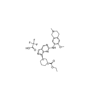 CCOC(=O)[C@H]1CCC[C@@H](n2ncc3cnc(Nc4cc5c(cc4OC)CCN(C)C5)nc32)C1.O=C(O)C(F)(F)F